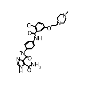 CN1CCN(CCOc2ccc(Cl)c(C(=O)Nc3ccc(N(C)C(=O)c4nc[nH]c4C(N)=O)cc3)c2)CC1